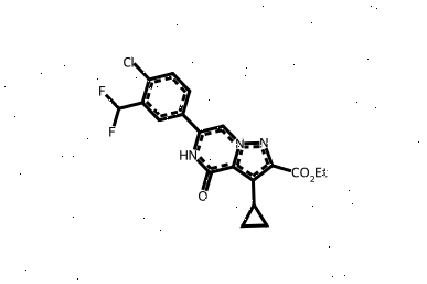 CCOC(=O)c1nn2cc(-c3ccc(Cl)c(C(F)F)c3)[nH]c(=O)c2c1C1CC1